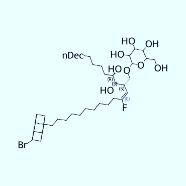 CCCCCCCCCCCCCC[C@@H](O)[C@@H](O)[C@@H](/C=C(/F)CCCCCCCCCCC12C3C4C1C1C2C3C41Br)COC1OC(CO)C(O)C(O)C1O